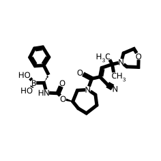 CC(C)(/C=C(\C#N)C(=O)N1CCCC[C@@H](OC(=O)N[C@@H](Cc2ccccc2)B(O)O)C1)N1CCOCC1